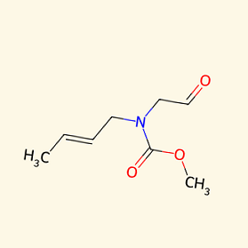 C/C=C/CN(CC=O)C(=O)OC